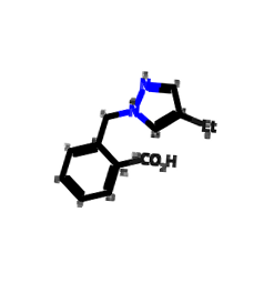 CCc1cnn(Cc2ccccc2C(=O)O)c1